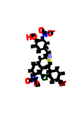 O=[N+]([O-])c1cc(/C=C(\Cc2ccc([N+](=O)[O-])c(Cl)c2)SCc2ccc(Br)cc2)ccc1O